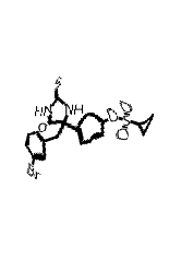 O=C1NC(=S)NC1(Cc1cccc(Br)c1)c1cccc(OS(=O)(=O)C2CC2)c1